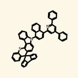 c1ccc(-c2cc(-c3ccccc3)nc(-c3ccc(-n4c5ccccc5c5c6c(ccc54)C4(c5ccccc5S6)c5ccccc5-c5ccccc54)c4ccccc34)c2)cc1